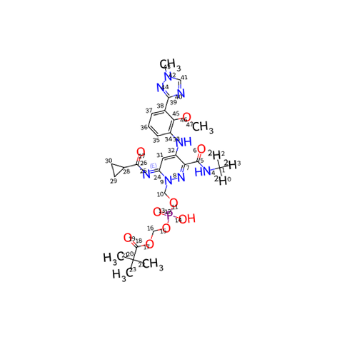 [2H]C([2H])([2H])NC(=O)c1nn(COP(=O)(O)OCOC(=O)C(C)(C)C)/c(=N/C(=O)C2CC2)cc1Nc1cccc(-c2ncn(C)n2)c1OC